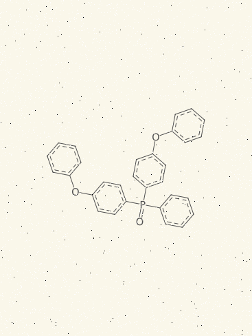 O=P(c1ccccc1)(c1ccc(Oc2ccccc2)cc1)c1ccc(Oc2ccccc2)cc1